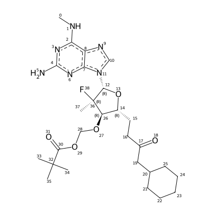 CNc1nc(N)nc2c1ncn2[C@@H]1O[C@H](CCC(=O)CC2CCCCC2)[C@@H](OCOC(=O)C(C)(C)C)[C@@]1(C)F